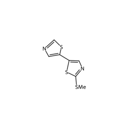 CSc1ncc(-c2cncs2)s1